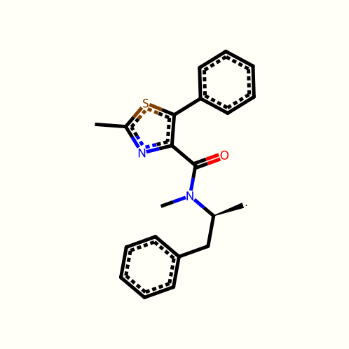 [CH2][C@@H](Cc1ccccc1)N(C)C(=O)c1nc(C)sc1-c1ccccc1